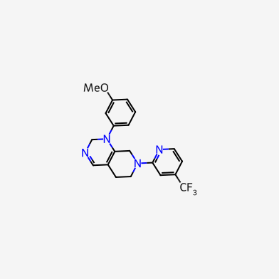 COc1cccc(N2CN=CC3=C2CN(c2cc(C(F)(F)F)ccn2)CC3)c1